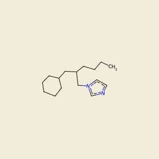 CCCCC(CC1CCCCC1)Cn1ccnc1